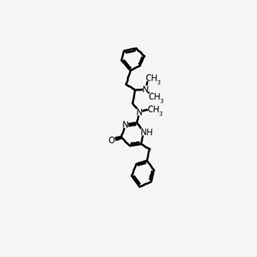 CN(CC(Cc1ccccc1)N(C)C)c1nc(=O)cc(Cc2ccccc2)[nH]1